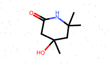 CC1(O)CC(=O)NC(C)(C)C1